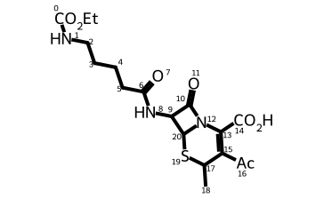 CCOC(=O)NCCCCC(=O)NC1C(=O)N2C(C(=O)O)=C(C(C)=O)C(C)SC12